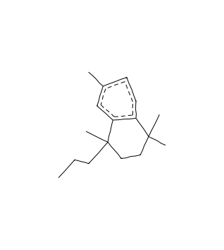 CCCC1(C)CCC(C)(C)c2ccc(C)cc21